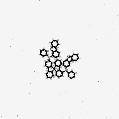 c1ccc(N(c2ccc3sc4ccccc4c3c2)c2cccc3c2-c2ccccc2C32c3ccccc3-c3ccc(N(c4ccccc4)c4cccc5c4sc4ccccc45)cc32)cc1